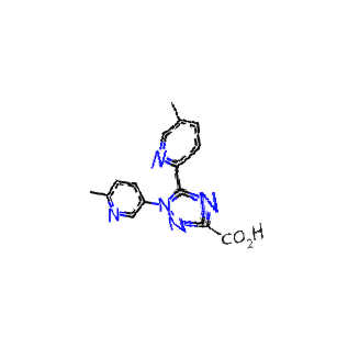 Cc1ccc(-c2nc(C(=O)O)nn2-c2ccc(C)nc2)nc1